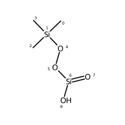 C[Si](C)(C)OO[Si](=O)O